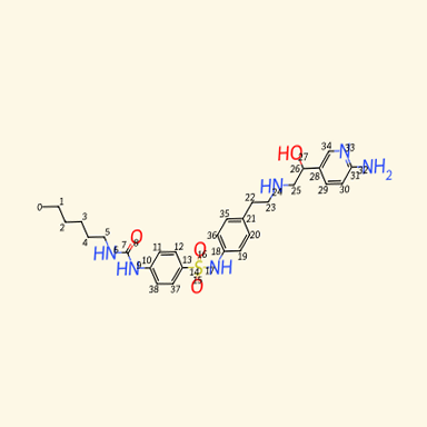 CCCCCCNC(=O)Nc1ccc(S(=O)(=O)Nc2ccc(CCNCC(O)c3ccc(N)nc3)cc2)cc1